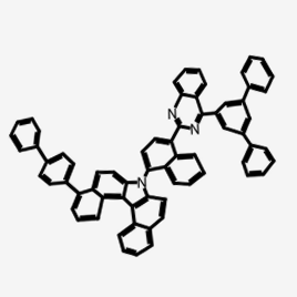 c1ccc(-c2ccc(-c3cccc4c3ccc3c4c4c5ccccc5ccc4n3-c3ccc(-c4nc(-c5cc(-c6ccccc6)cc(-c6ccccc6)c5)c5ccccc5n4)c4ccccc34)cc2)cc1